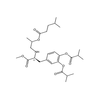 COC(=O)[C@H](Cc1ccc(OC(=O)C(C)C)c(OC(=O)C(C)C)c1)NCC(C)OC(=O)CCC(C)C